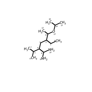 CCC(CC(C(C)C)C(N)N)C(C)OC(C)C